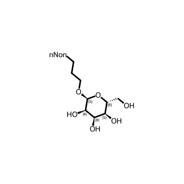 CCCCCCCCCCCCO[C@H]1O[C@H](CO)[C@@H](O)[C@@H](O)[C@H]1O